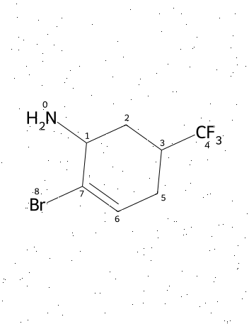 NC1CC(C(F)(F)F)CC=C1Br